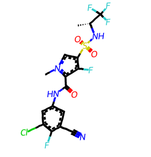 C[C@@H](NS(=O)(=O)c1cn(C)c(C(=O)Nc2cc(Cl)c(F)c(C#N)c2)c1F)C(F)(F)F